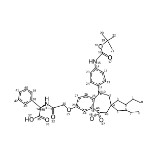 CCCCC1(CCCC)CN(c2ccc(NC(=O)OC(C)(C)C)cc2)c2ccc(OCC(=O)N[C@@H](C(=O)O)c3ccccc3)cc2S(=O)(=O)C1